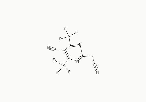 N#CCc1nc(C(F)(F)F)c(C#N)c(C(F)(F)F)n1